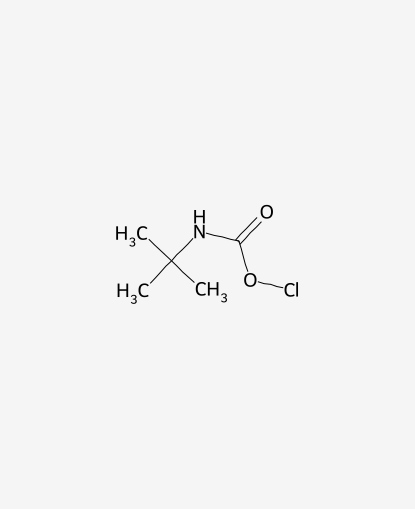 CC(C)(C)NC(=O)OCl